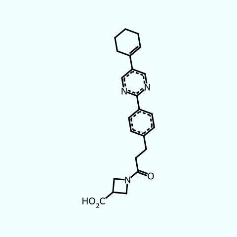 O=C(O)C1CN(C(=O)CCc2ccc(-c3ncc(C4=CCCCC4)cn3)cc2)C1